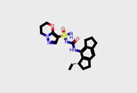 CC[C@H]1CCc2cc3c(c(NC(=O)N=S(N)(=O)c4cnn5c4OCCC5)c21)CCC3